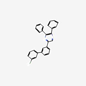 Clc1cccc(-c2cccc(-c3cnc(-c4ccccc4)c(-c4ccccc4)n3)c2)c1